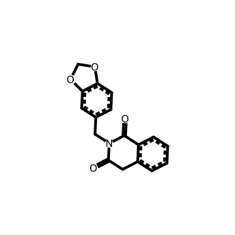 O=C1Cc2ccccc2C(=O)N1Cc1ccc2c(c1)OCO2